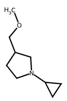 COCC1CCN(C2CC2)C1